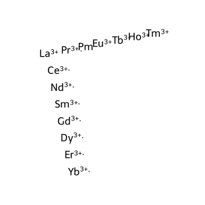 [Ce+3].[Dy+3].[Er+3].[Eu+3].[Gd+3].[Ho+3].[La+3].[Nd+3].[Pm].[Pr+3].[Sm+3].[Tb+3].[Tm+3].[Yb+3]